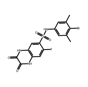 Cc1cc(NS(=O)(=O)c2cc3[nH]c(=O)c(=O)[nH]c3cc2F)cc(C)c1Br